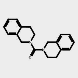 O=C(N1CCc2ccccc2C1)N1CCc2ccccc2C1